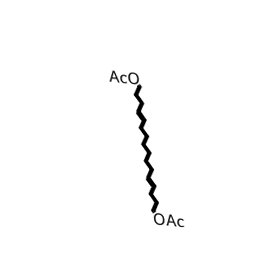 CC(=O)OCCCC=CCCCCCCC=CCCCOC(C)=O